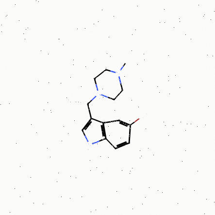 CN1CCN([C@@H](C#N)c2c[nH]c3ccc(Br)cc23)CC1